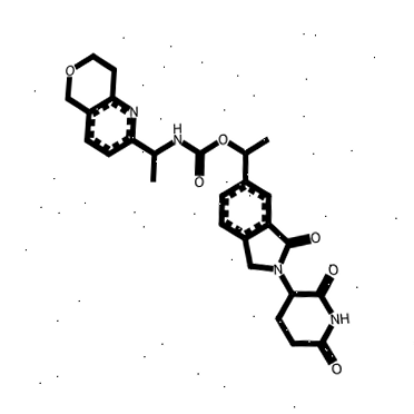 CC(NC(=O)OC(C)c1ccc2c(c1)C(=O)N(C1CCC(=O)NC1=O)C2)c1ccc2c(n1)CCOC2